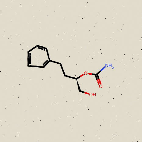 NC(=O)O[C@@H](CO)CCc1ccccc1